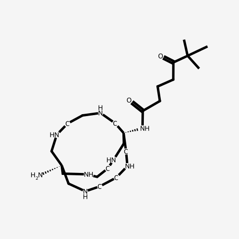 CC(C)(C)C(=O)CCCC(=O)N[C@]12CNCCNC[C@](N)(CNCCNC1)CNCCNC2